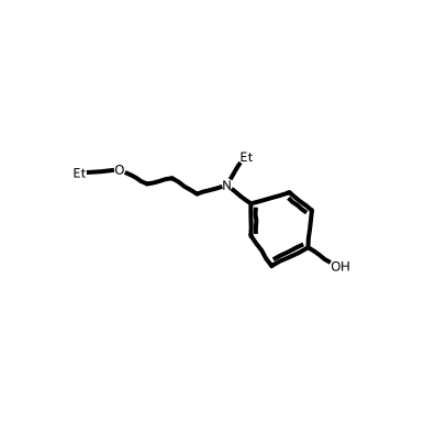 CCOCCCN(CC)c1ccc(O)cc1